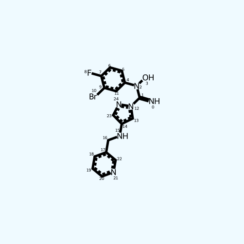 N=C(N(O)c1ccc(F)c(Br)c1)n1cc(NCc2cccnc2)cn1